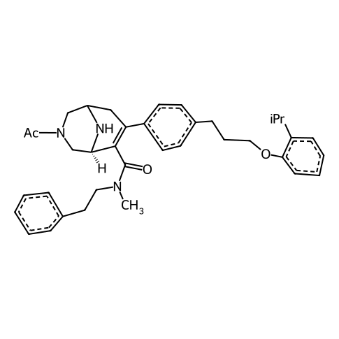 CC(=O)N1CC2CC(c3ccc(CCCOc4ccccc4C(C)C)cc3)=C(C(=O)N(C)CCc3ccccc3)[C@@H](C1)N2